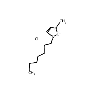 CCCCCCCN1[C+]N(C)C=C1.[Cl-]